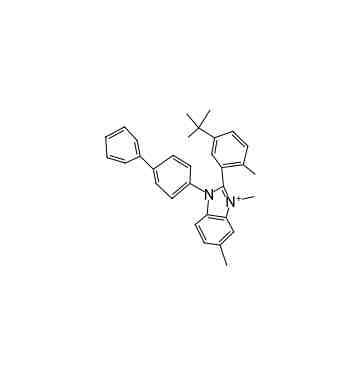 Cc1ccc2c(c1)[n+](C)c(-c1cc(C(C)(C)C)ccc1C)n2-c1ccc(-c2ccccc2)cc1